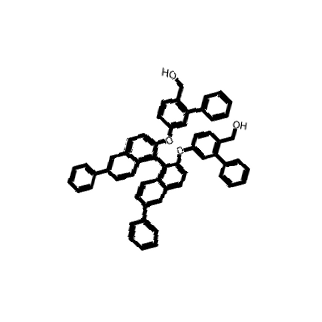 OCc1ccc(Oc2ccc3cc(-c4ccccc4)ccc3c2-c2c(Oc3ccc(CO)c(-c4ccccc4)c3)ccc3cc(-c4ccccc4)ccc23)cc1-c1ccccc1